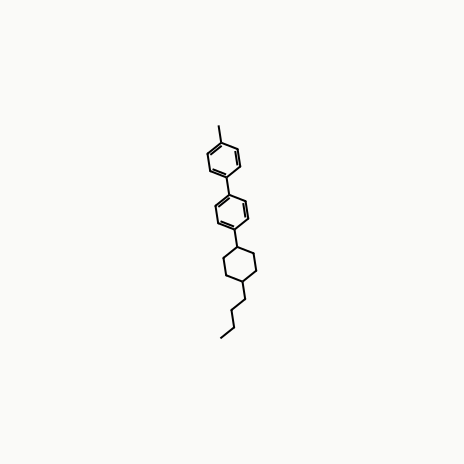 CCCCC1CCC(c2ccc(-c3ccc(C)cc3)cc2)CC1